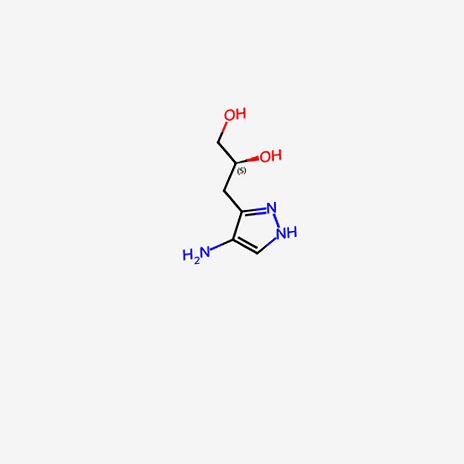 Nc1c[nH]nc1C[C@H](O)CO